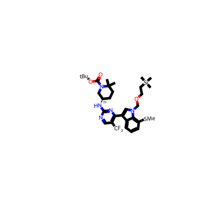 CSc1cccc2c(-c3nc(N[C@H]4CCC(C)(C)N(C(=O)OC(C)(C)C)C4)ncc3C(F)(F)F)cn(COCC[Si](C)(C)C)c12